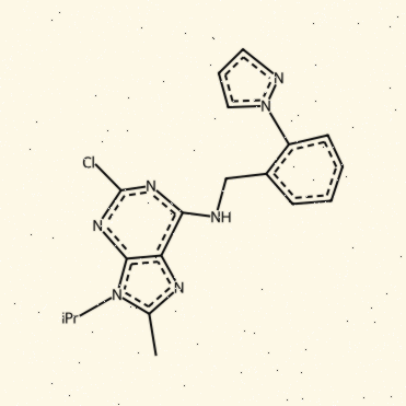 Cc1nc2c(NCc3ccccc3-n3cccn3)nc(Cl)nc2n1C(C)C